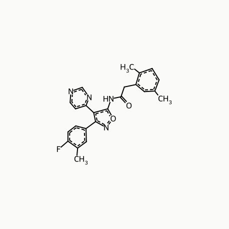 Cc1ccc(C)c(CC(=O)Nc2onc(-c3ccc(F)c(C)c3)c2-c2ccncn2)c1